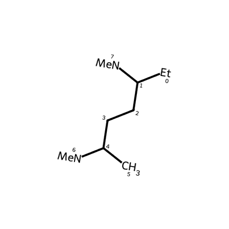 CCC(CCC(C)NC)NC